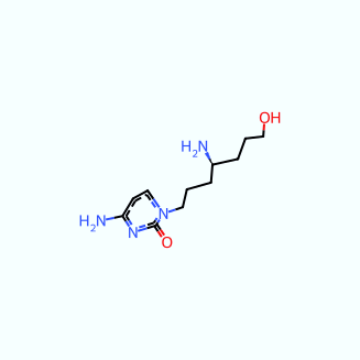 Nc1ccn(CCC[C@@H](N)CCCO)c(=O)n1